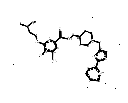 CC(O)CCOc1nc(C(=O)NCC2CCN(Cc3cnc(-c4ccccn4)s3)CC2)cc(N)c1C#N